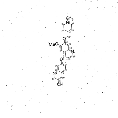 COc1cc2c(Oc3ccc4cc(C#N)cnc4c3)ncnc2cc1OCC1CCN(C)CC1